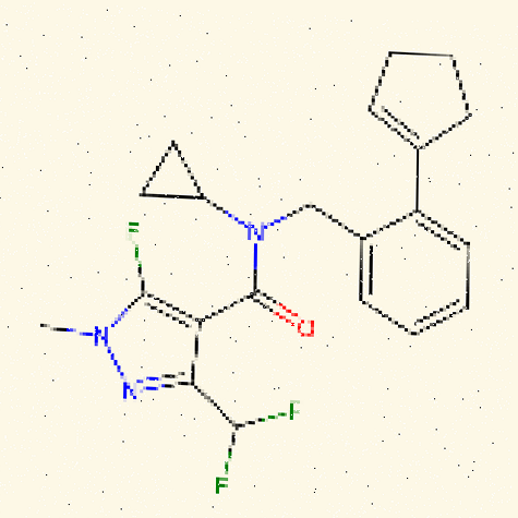 Cn1nc(C(F)F)c(C(=O)N(Cc2ccccc2C2=CCCC2)C2CC2)c1F